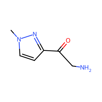 Cn1ccc(C(=O)CN)n1